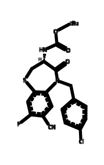 CC(C)(C)OC(=O)N[C@H]1CSc2cc(F)c(C#N)cc2N(Cc2ccc(Cl)cc2)C1=O